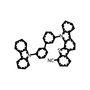 N#Cc1cccc2c1sc1c2ccc2c3ccccc3n(-c3cccc(-c4cccc(-n5c6ccccc6c6ccccc65)c4)c3)c21